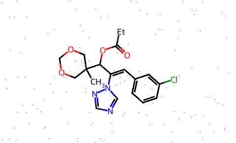 CCC(=O)OC(/C(=C/c1cccc(Cl)c1)n1cncn1)C1(C)COCOC1